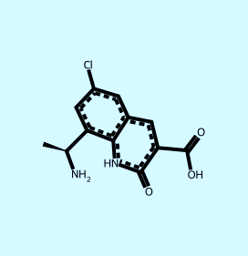 C[C@H](N)c1cc(Cl)cc2cc(C(=O)O)c(=O)[nH]c12